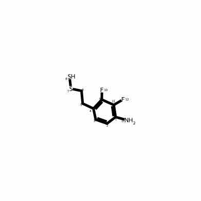 Nc1ccc(CCSS)c(F)c1F